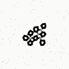 c1ccc(N2c3ccccc3B3c4cc5c(cc4N(c4ccccc4)c4cccc2c43)-c2ccccc2[Si]5(c2ccccc2)c2ccccc2)cc1